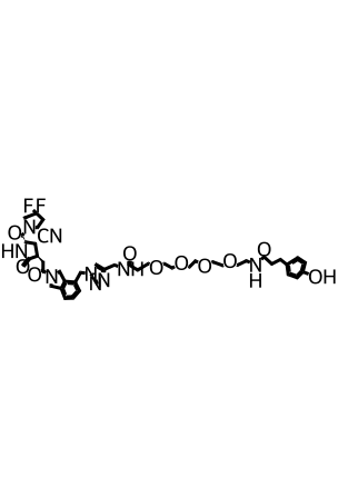 N#C[C@@H]1CC(F)(F)CN1C(=O)[C@@H]1C[C@@H](CC(=O)N2Cc3cccc(Cn4cc(CNC(=O)CCOCCOCCOCCOCCNC(=O)CCc5ccc(O)cc5)nn4)c3C2)C(=O)N1